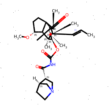 C/C=C/[C@]1(C)C[C@@H](OC(=O)NC(=O)[C@@H]2CN3CC[C@@H]2C3)[C@@]2(C)C3[C@H](OC)CCC3(CC[C@H]2C)[C@@H](C)C1=O